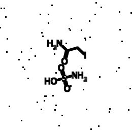 NC(=O)CI.NS(=O)(=O)O